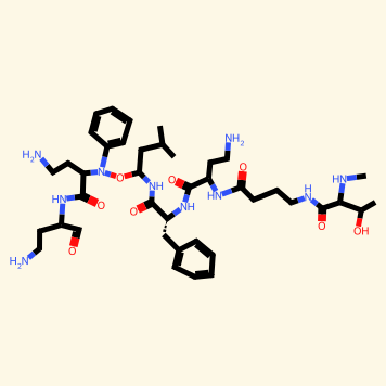 CNC(C(=O)NCCCC(=O)NC(CCN)C(=O)N[C@H](Cc1ccccc1)C(=O)NC(CC(C)C)ON(c1ccccc1)C(CCN)C(=O)NC(C=O)CCN)C(C)O